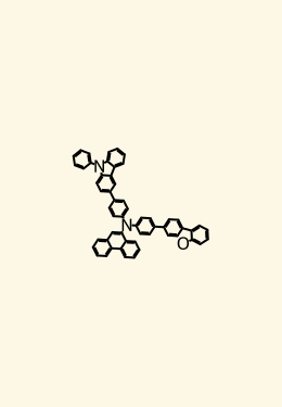 c1ccc(-n2c3ccccc3c3cc(-c4ccc(N(c5ccc(-c6ccc7c(c6)oc6ccccc67)cc5)c5cc6ccccc6c6ccccc56)cc4)ccc32)cc1